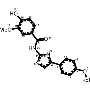 CCOc1ccc(-c2csc(NC(=O)c3ccc(O)c(OC)c3)n2)cc1